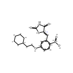 O=C1NC(=O)/C(=C/c2cc(OCCC3CCCCC3)ccc2[N+](=O)[O-])S1